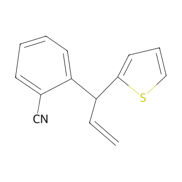 C=CC(c1cccs1)c1ccccc1C#N